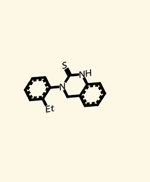 CCc1ccccc1N1Cc2ccccc2NC1=S